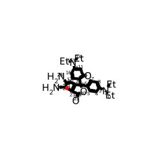 CCN(CC)c1ccc2c(c1)Oc1cc(N(CC)CC)ccc1C21OC(=O)c2cc(N)c(N)cc21